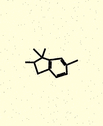 Cc1ccc2c(c1)C(C)(C)C(C)C2